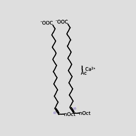 CC(C)=O.CCCCCCCC/C=C\CCCCCCCCCCCCCC(=O)[O-].CCCCCCCC/C=C\CCCCCCCCCCCCCC(=O)[O-].[Ca+2]